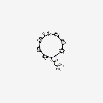 CN(C)CC(=O)OC1/C=C/c2nc(co2)-c2nc(co2)-c2nc(co2)CNC(=O)c2coc(n2)-c2coc(n2)-c2coc1n2